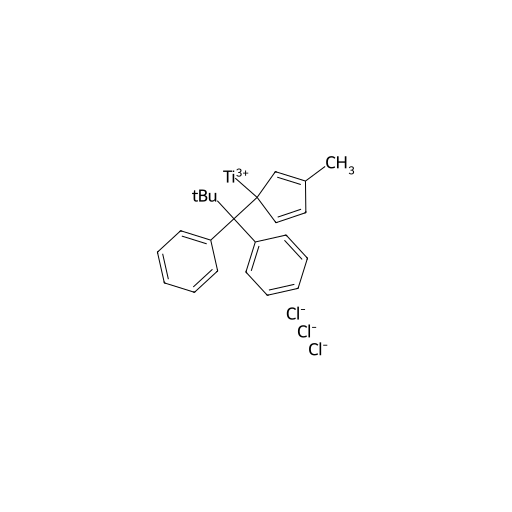 CC1=C[C]([Ti+3])(C(c2ccccc2)(c2ccccc2)C(C)(C)C)C=C1.[Cl-].[Cl-].[Cl-]